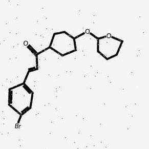 O=C(C=Cc1ccc(Br)cc1)C1CCC(OC2CCCCO2)CC1